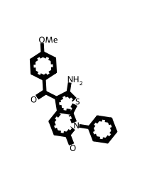 COc1ccc(C(=O)c2c(N)sc3c2ccc(=O)n3-c2ccccc2)cc1